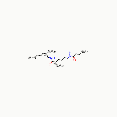 CNCCC[C@@H](CNC(=O)[C@H](CCCCNC(=O)CCNC)NC)NC